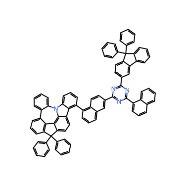 c1ccc(C2(c3ccccc3)c3ccccc3-c3cc(-c4nc(-c5ccc6c(-c7cccc8c7c7ccc9c%10c7n8-c7ccccc7-c7cccc(c7-%10)C9(c7ccccc7)c7ccccc7)cccc6c5)nc(-c5cccc6ccccc56)n4)ccc32)cc1